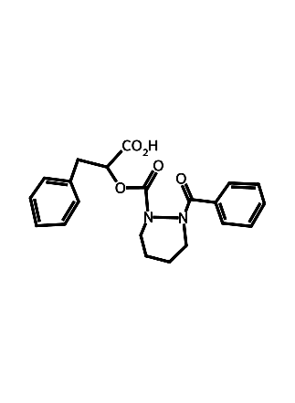 O=C(O)C(Cc1ccccc1)OC(=O)N1CCCCN1C(=O)c1ccccc1